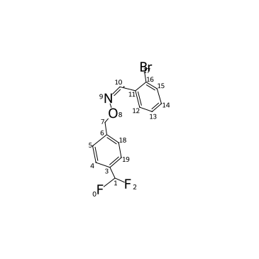 FC(F)c1ccc(CO/N=[C]\c2ccccc2Br)cc1